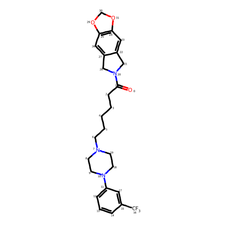 O=C(CCCCCN1CCN(c2cccc(C(F)(F)F)c2)CC1)N1Cc2cc3c(cc2C1)OCO3